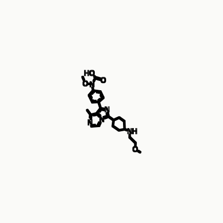 COCCNC1CCC(c2nc(-c3ccc(N(OC)C(=O)O)cc3)c3c(C)nccn23)CC1